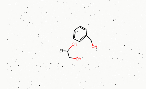 CCC(O)CO.OCc1ccccc1